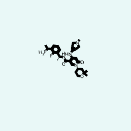 CC(P)c1cccc([C@@H](C)NC(=O)c2cn([C@H]3CCOC(C)(C)C3)c(=O)cc2NC2C3CN(C)CC32)c1F